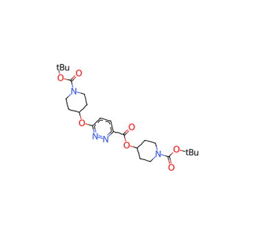 CC(C)(C)OC(=O)N1CCC(OC(=O)c2ccc(OC3CCN(C(=O)OC(C)(C)C)CC3)nn2)CC1